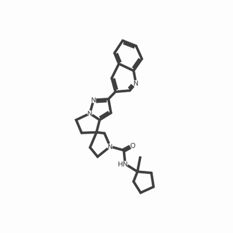 CC1(NC(=O)N2CCC3(CCn4nc(-c5cnc6ccccc6c5)cc43)C2)CCCC1